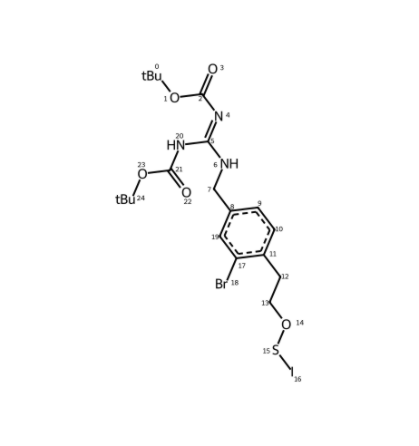 CC(C)(C)OC(=O)N=C(NCc1ccc(CCOSI)c(Br)c1)NC(=O)OC(C)(C)C